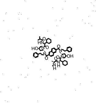 CN[C@@H](C)C(=O)N[C@H](C(=O)N1C[C@H](O)C[C@H]1CN(CCc1ccccc1)C(=O)c1ccc2cc(C(=O)N(CCc3ccccc3)C[C@@H]3C[C@@H](O)CN3C(=O)[C@@H](NC(=O)C(C)C)C3CCCCC3)ccc2c1)C1CCCCC1